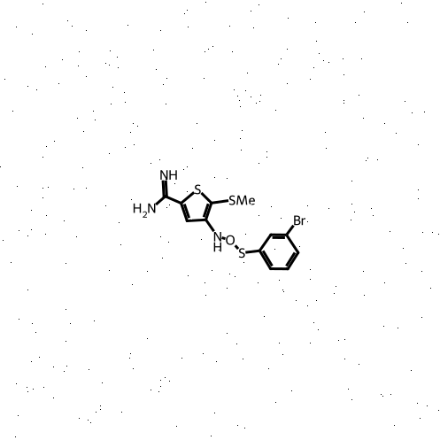 CSc1sc(C(=N)N)cc1NOSc1cccc(Br)c1